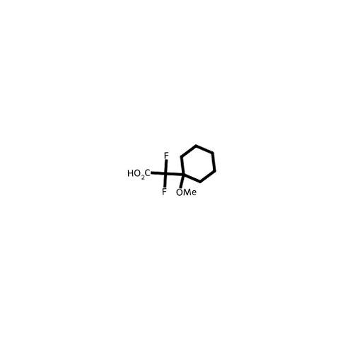 COC1(C(F)(F)C(=O)O)CCCCC1